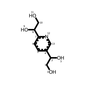 OCC(O)c1ccc(C(O)CO)nc1